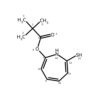 CC(C)(C)C(=O)OC1=CC=CC=C(S)N1